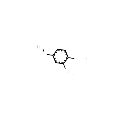 Nc1cc(NC=O)ccc1S(=O)(=O)O